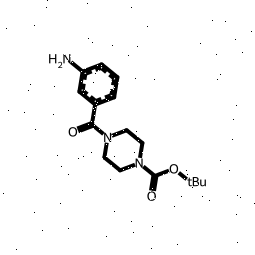 CC(C)(C)OC(=O)N1CCN(C(=O)c2cccc(N)c2)CC1